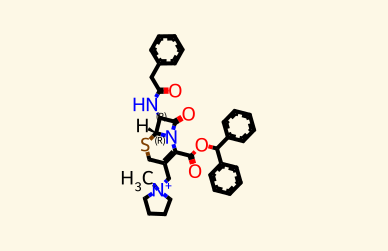 C[N+]1(CC2=C(C(=O)OC(c3ccccc3)c3ccccc3)N3C(=O)[C@@H](NC(=O)Cc4ccccc4)[C@H]3SC2)CCCC1